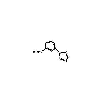 [CH2]CCCCc1cccc(C2N=NN=N2)c1